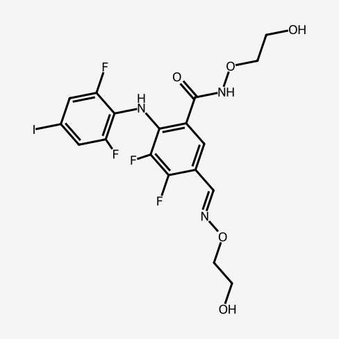 O=C(NOCCO)c1cc(C=NOCCO)c(F)c(F)c1Nc1c(F)cc(I)cc1F